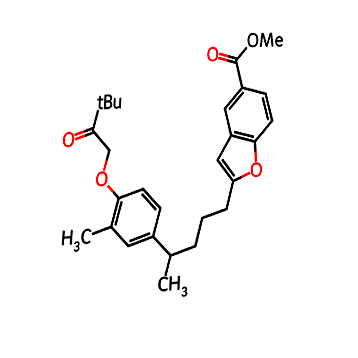 COC(=O)c1ccc2oc(CCCC(C)c3ccc(OCC(=O)C(C)(C)C)c(C)c3)cc2c1